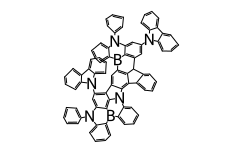 c1ccc(N2c3ccccc3B3c4cc5c6c(-n7c8ccccc8c8ccccc87)cc7c8c6n(c5c5c4C(c4ccccc4-5)c4cc(-n5c6ccccc6c6ccccc65)cc2c43)-c2ccccc2B8c2ccccc2N7c2ccccc2)cc1